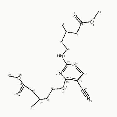 COC(=O)CC(C)CCNc1ncc(C#N)c(NCCC(C)CC(=O)OC)n1